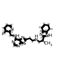 C[C@H](CNCCc1nc2c(NCc3ncccc3F)ncnc2s1)c1nc2c([nH]1)CCC=C2